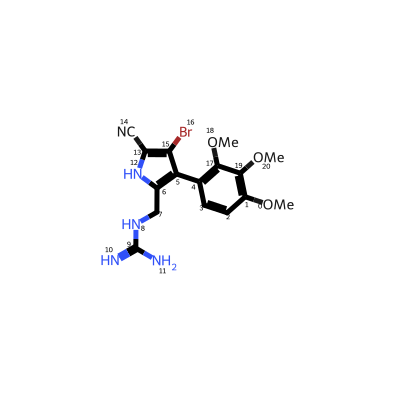 COc1ccc(-c2c(CNC(=N)N)[nH]c(C#N)c2Br)c(OC)c1OC